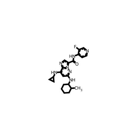 CC1CCCCC1Nc1cc(NC2CC2)c2ncc(C(=O)Nc3ccncc3F)n2n1